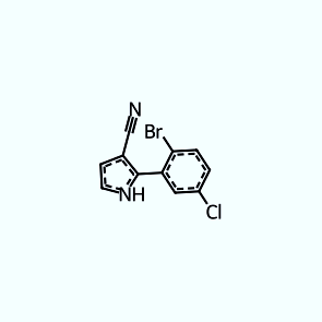 N#Cc1cc[nH]c1-c1cc(Cl)ccc1Br